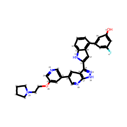 Oc1cc(F)cc(-c2cccc3[nH]c(-c4n[nH]c5ncc(-c6cncc(OCCN7CCCC7)c6)cc45)cc23)c1